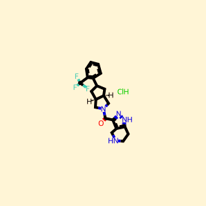 Cl.O=C(c1n[nH]c2c1CNCC2)N1C[C@H]2CC(c3ccccc3C(F)(F)F)C[C@H]2C1